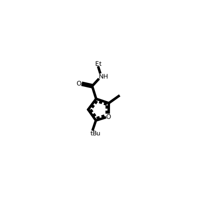 CCNC(=O)c1cc(C(C)(C)C)oc1C